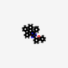 c1ccc(-c2nc(-c3cccc4c3C3(c5ccccc5-c5ccccc53)c3ccccc3-4)nc(-c3cccc4c3oc3ccccc34)n2)cc1